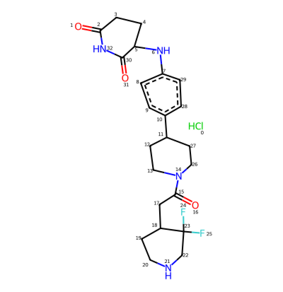 Cl.O=C1CCC(Nc2ccc(C3CCN(C(=O)CC4CCNCC4(F)F)CC3)cc2)C(=O)N1